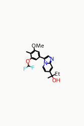 CCC(C)(O)c1ccn2c(-c3cc(OC)c(C)c(OC(F)F)c3)cnc2c1